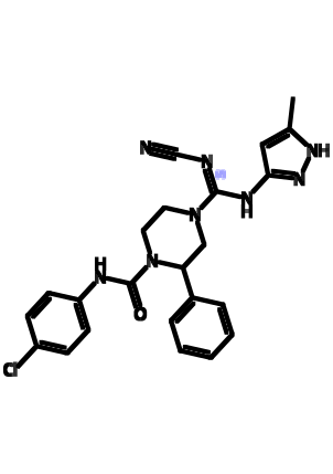 Cc1cc(N/C(=N/C#N)N2CCN(C(=O)Nc3ccc(Cl)cc3)C(c3ccccc3)C2)n[nH]1